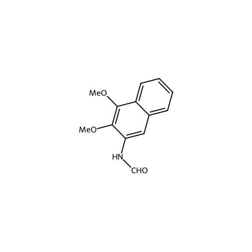 COc1c(NC=O)cc2ccccc2c1OC